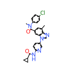 Cc1cc(C(=O)N(C)c2ccc(Cl)cc2)cc2c1ncn2-c1ccc(NC(=O)C2CC2)nc1